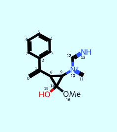 C=C(c1ccccc1)C1C([N+](=C)C=N)C1(O)OC